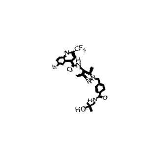 Cc1nn(Cc2ccc(C(=O)NCC(C)(C)O)cc2)c(C)c1NC(=O)c1cc(C(F)(F)F)nc2ccc(Br)cc12